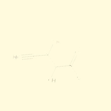 C#CC(C)C(C)C([O])=O